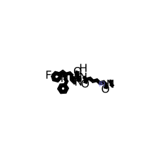 CN(C)C(=O)/C=C/CC[CH]C(=O)Nc1nccn(Cc2cc3cc(F)ccc3n2Cc2ccccc2)c1=O